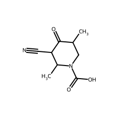 CC1CN(C(=O)O)C(C)C(C#N)C1=O